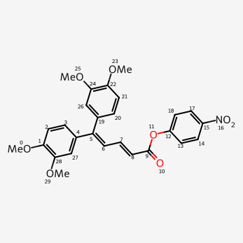 COc1ccc(C(=CC=CC(=O)Oc2ccc([N+](=O)[O-])cc2)c2ccc(OC)c(OC)c2)cc1OC